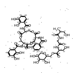 CC(CO)C(=O)NCC(=O)NC(CO)C(=O)OCC1O[C@@H](c2cc(O)c(O)c(C(=O)N[C@H]3COC(=O)[C@@H](NC(=O)c4cccc(O)c4O)COC(=O)[C@@H](NC(=O)c4cccc(O)c4O)COC3=O)c2)C(O)C(O)[C@@H]1O